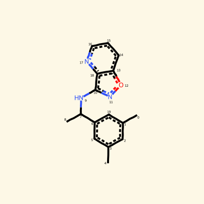 Cc1cc(C)cc(C(C)Nc2noc3cccnc23)c1